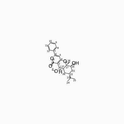 CO[C@@H]1c2c(cc(-c3ccccc3)oc2=O)O[C@]2(C)[C@@H](O)C[C@@H](C(C)C)C[C@@H]12